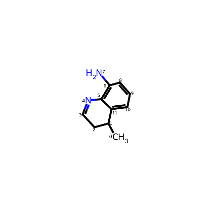 CC1CC=Nc2c(N)cccc21